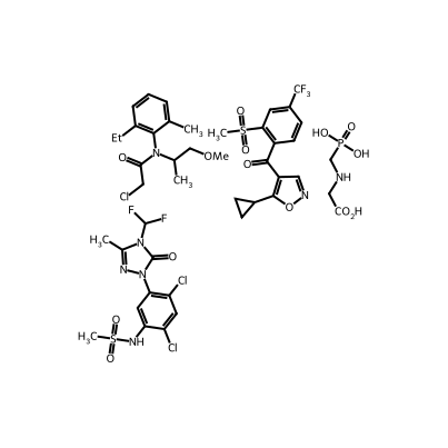 CCc1cccc(C)c1N(C(=O)CCl)C(C)COC.CS(=O)(=O)c1cc(C(F)(F)F)ccc1C(=O)c1cnoc1C1CC1.Cc1nn(-c2cc(NS(C)(=O)=O)c(Cl)cc2Cl)c(=O)n1C(F)F.O=C(O)CNCP(=O)(O)O